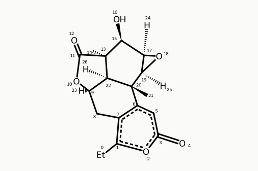 CCc1oc(=O)cc2c1C[C@H]1OC(=O)[C@@]3(C)[C@@H](O)[C@H]4O[C@H]4[C@@]2(C)[C@@H]13